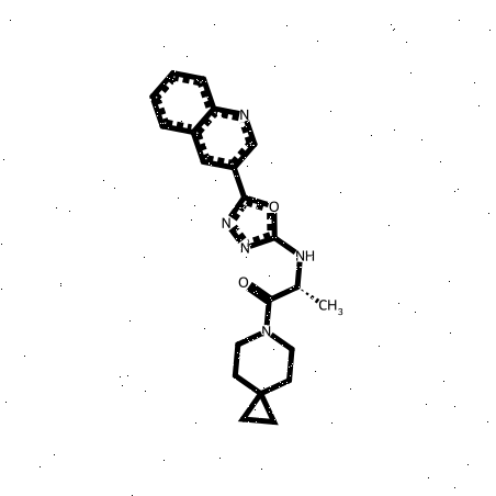 C[C@@H](Nc1nnc(-c2cnc3ccccc3c2)o1)C(=O)N1CCC2(CC1)CC2